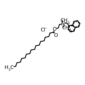 CCCCCCCCCCCCCCCCCC(=O)OCC[N+](C)(C)Cc1cccc2ccccc12.[Cl-]